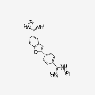 CC(C)NC(=N)c1ccc(-c2cc3cc(C(=N)NC(C)C)ccc3o2)cc1